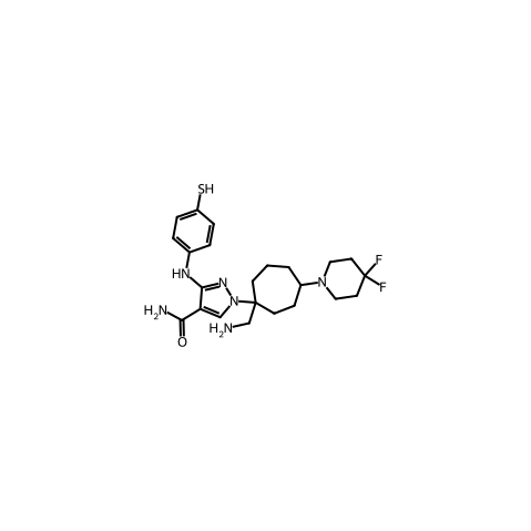 NCC1(n2cc(C(N)=O)c(Nc3ccc(S)cc3)n2)CCCC(N2CCC(F)(F)CC2)CC1